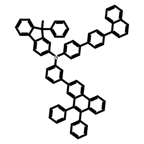 CC1(c2ccccc2)c2ccccc2-c2ccc(N(c3ccc(-c4ccc(-c5cccc6ccccc56)cc4)cc3)c3cccc(-c4ccc5c(c4)c(-c4ccccc4)c(-c4ccccc4)c4ccccc45)c3)cc21